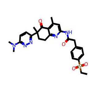 CCS(=O)(=O)c1ccc(CC(=O)Nc2cc(C)c3c(n2)CCC(C)(c2ccc(N(C)C)nn2)C3=O)cc1